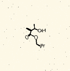 C=C(C(=O)OCC(C)C)C(C)O